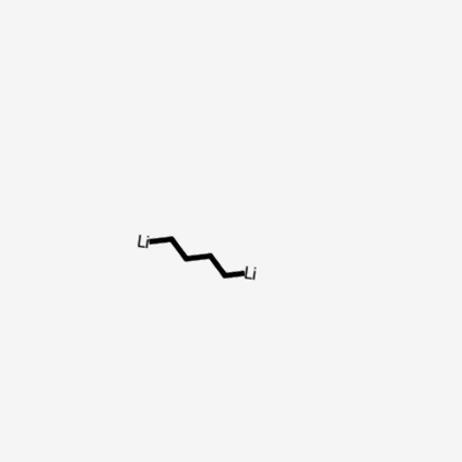 [Li][CH2]CC[CH2][Li]